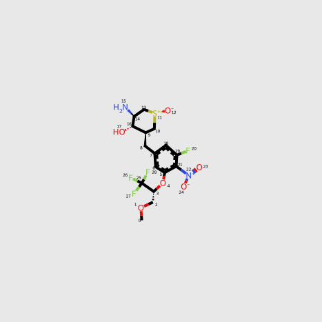 COC[C@@H](Oc1cc(C[C@@H]2C[S@+]([O-])C[C@H](N)[C@H]2O)cc(F)c1[N+](=O)[O-])C(F)(F)F